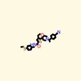 CCSc1ccc(CNC(=O)c2cc3c(s2)C2(CCN(C(C)c4ccc(C#N)cc4)CC2)OCC3)cc1